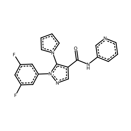 O=C(Nc1cccnc1)c1cnn(-c2cc(F)cc(F)c2)c1-n1cccc1